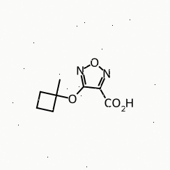 CC1(Oc2nonc2C(=O)O)CCC1